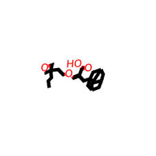 CCCC1(CCOC=C(CC23CC4CC(CC(C4)C2)C3)C(=O)O)COC1